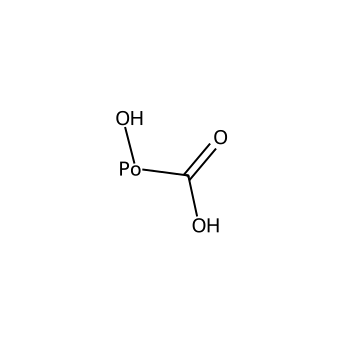 O=[C](O)[Po][OH]